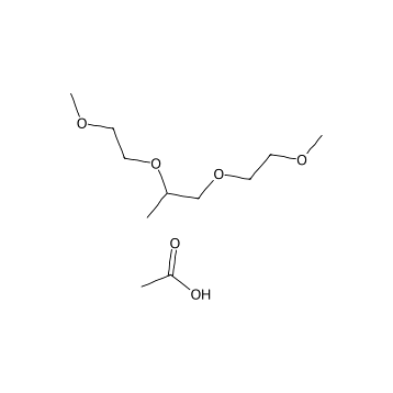 CC(=O)O.COCCOCC(C)OCCOC